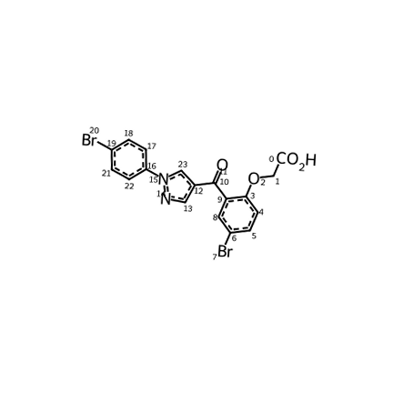 O=C(O)COc1ccc(Br)cc1C(=O)c1cnn(-c2ccc(Br)cc2)c1